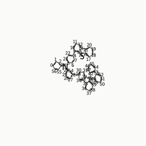 c1ccc(N(c2ccc(-c3cccc4c3sc3ccccc34)cc2)c2cccc(-c3ccc4c(c3)-c3ccccc3C4(c3ccccc3)c3ccccc3)c2)cc1